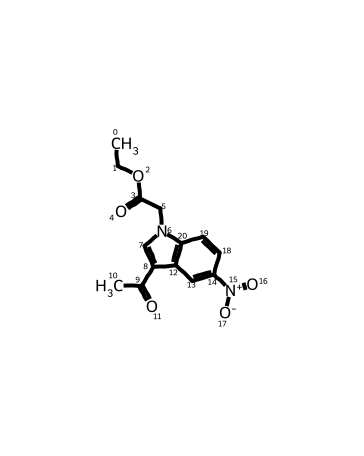 CCOC(=O)Cn1cc(C(C)=O)c2cc([N+](=O)[O-])ccc21